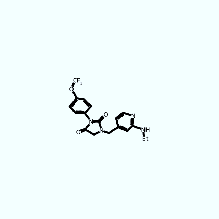 CCNc1cc(CN2CC(=O)N(c3ccc(OC(F)(F)F)cc3)C2=O)ccn1